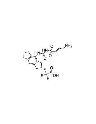 NC/C=C/S(=O)(=O)NC(=O)Nc1c2c(cc3c1CCC3)CCC2.O=C(O)C(F)(F)F